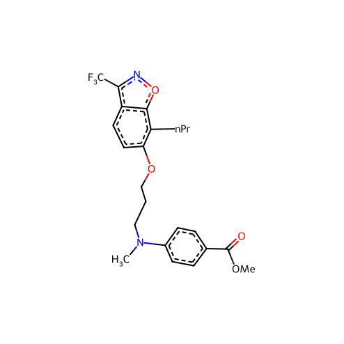 CCCc1c(OCCCN(C)c2ccc(C(=O)OC)cc2)ccc2c(C(F)(F)F)noc12